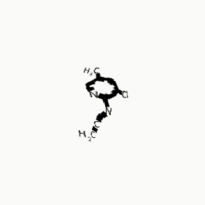 C=C=C=Nc1ncc(C)cc1Cl